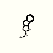 CCCCNB1NC2c3ccccc3CC2O1